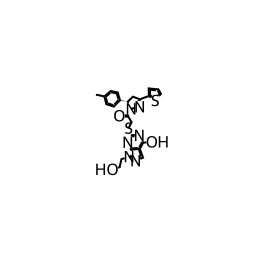 Cc1ccc([C@@H]2CC(c3cccs3)=NN2C(=O)CSc2nc(O)c3cnn(CCO)c3n2)cc1